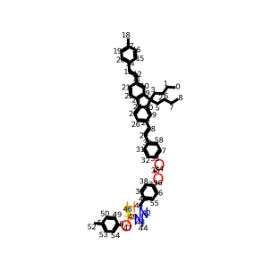 CCCCC1(CCCC)c2cc(/C=C/c3ccc(C)cc3)ccc2-c2ccc(/C=C/c3ccc(OCOc4ccc(/C=N/N(C)[PH](=S)Oc5ccc(C)cc5)cc4)cc3)cc21